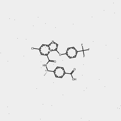 C[C@H](NC(=O)c1cc(Cl)cc2ncc(Oc3ccc(C(F)(F)F)cc3)n12)c1ccc(C(=O)O)cc1